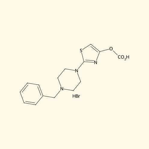 Br.O=C(O)Oc1csc(N2CCN(Cc3ccccc3)CC2)n1